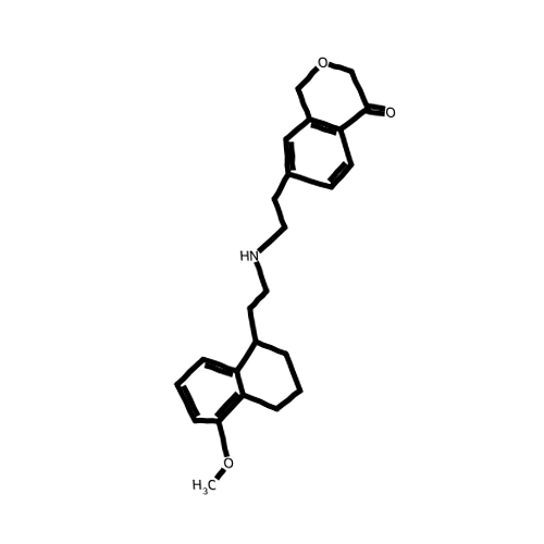 COc1cccc2c1CCCC2CCNCCc1ccc2c(c1)COCC2=O